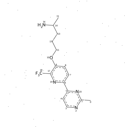 Cc1nccc(-c2ccc(OCCCC(C)N)c(C(F)(F)F)n2)n1